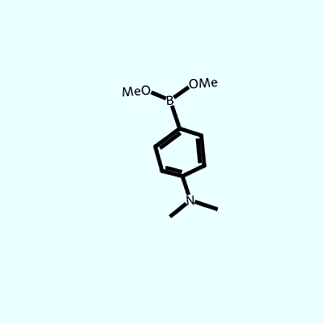 COB(OC)c1ccc(N(C)C)cc1